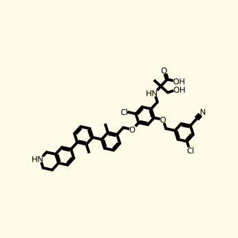 Cc1c(COc2cc(OCc3cc(Cl)cc(C#N)c3)c(CNC(C)(CO)C(=O)O)cc2Cl)cccc1-c1cccc(-c2ccc3c(c2)CNCC3)c1C